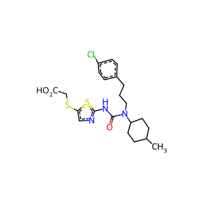 CC1CCC(N(CCCc2ccc(Cl)cc2)C(=O)Nc2ncc(SCC(=O)O)s2)CC1